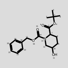 CC(C)(C)OC(=O)C1CCC(O)CN1C(=O)OCc1ccccc1